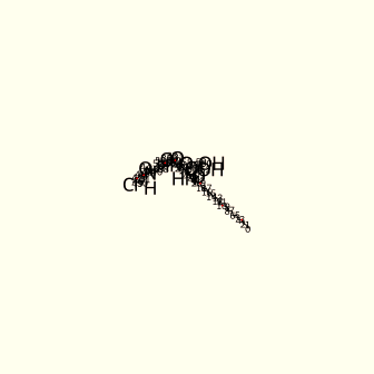 CCC=CCC=CCC=CCC=CCC=CCC=CCCC(=O)NCCC(CCNC(=O)C(C)(C)Oc1ccc(CCNC(=O)c2ccc(Cl)cc2)cc1)C(=O)OCC(CO)CO